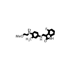 CCN(CCOC)c1ccc(NC=C2C(=O)Nc3cccc(F)c32)cc1C